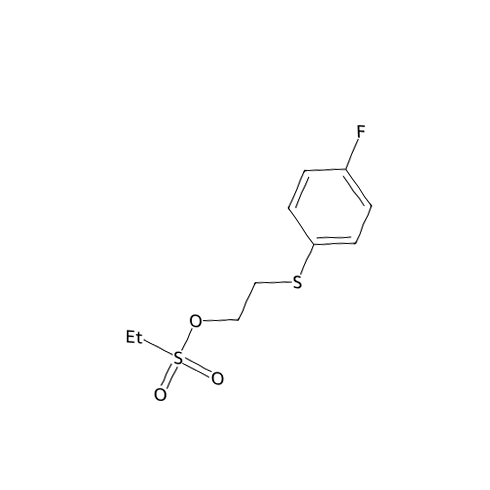 CCS(=O)(=O)OCCSc1ccc(F)cc1